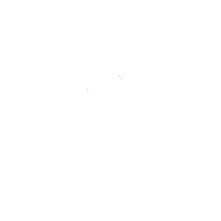 CC(=N)c1ccc(C)cc1O